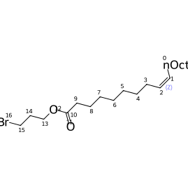 CCCCCCCC/C=C\CCCCCCCC(=O)OCCCBr